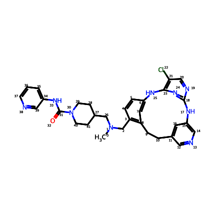 CN(Cc1ccc2cc1CCc1cncc(c1)Nc1ncc(Cl)c(n1)N2)CC1CCN(C(=O)Nc2cccnc2)CC1